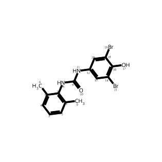 Cc1cccc(C)c1NC(=O)Nc1cc(Br)c(O)c(Br)c1